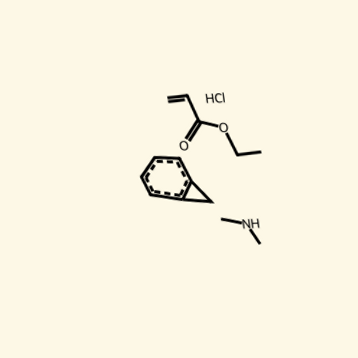 C=CC(=O)OCC.CNC.Cl.c1ccc2c(c1)C2